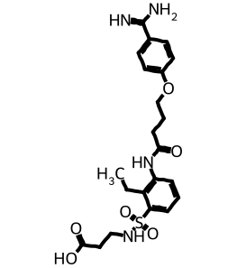 CCc1c(NC(=O)CCCOc2ccc(C(=N)N)cc2)cccc1S(=O)(=O)NCCC(=O)O